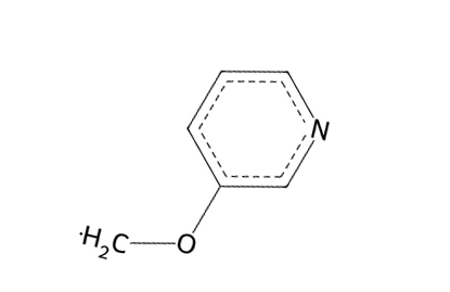 [CH2]Oc1cccnc1